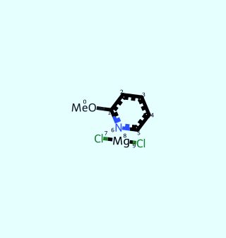 COc1cc[c]cn1.[Cl][Mg][Cl]